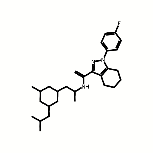 C=C(NC(C)CC1CC(C)CC(CC(C)C)C1)c1nn(-c2ccc(F)cc2)c2c1CCCC2